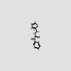 O=C(Nc1ccccc1)OCc1cncs1